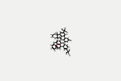 Cc1cc2c3c(c1)N(c1ccc(C(C)(C)C)cc1-c1ccccc1)c1cc4c(cc1B3N1c3c-2cc(C(C)(C)C)cc3C2(C)CCCCC12C)sc1ccccc14